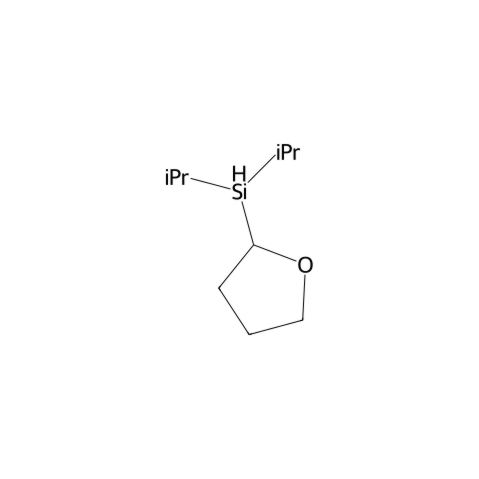 CC(C)[SiH](C(C)C)C1CCCO1